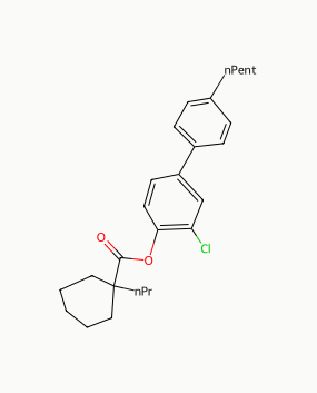 CCCCCc1ccc(-c2ccc(OC(=O)C3(CCC)CCCCC3)c(Cl)c2)cc1